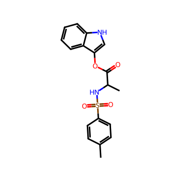 Cc1ccc(S(=O)(=O)NC(C)C(=O)Oc2c[nH]c3ccccc23)cc1